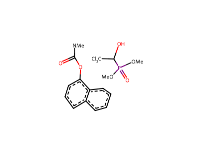 CNC(=O)Oc1cccc2ccccc12.COP(=O)(OC)C(O)C(Cl)(Cl)Cl